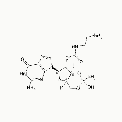 B[PH]1(O)OC[C@H]2O[C@@H](n3cnc4c(=O)[nH]c(N)nc43)C(OC(=O)NCCN)[C@H]2O1